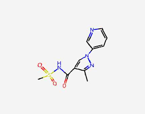 Cc1nn(-c2cccnc2)cc1C(=O)NS(C)(=O)=O